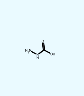 O=C(O)NP